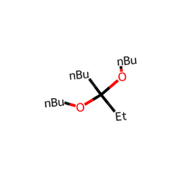 [CH2]CC(CCCC)(OCCCC)OCCCC